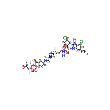 O=C1CCC(N2C(=O)c3ccc(N4CC(N5CC(NCCNS(=O)(=O)Nc6ccc(Cl)cc6-c6nc7cc(C(F)(F)F)cc(Cl)c7[nH]6)C5)C4)cc3C2=O)C(=O)N1